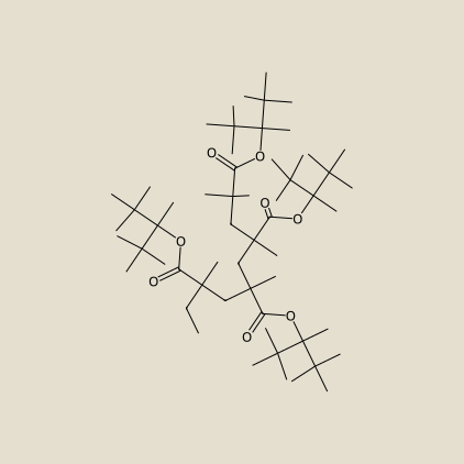 CCC(C)(CC(C)(CC(C)(CC(C)(C)C(=O)OC(C)(C(C)(C)C)C(C)(C)C)C(=O)OC(C)(C(C)(C)C)C(C)(C)C)C(=O)OC(C)(C(C)(C)C)C(C)(C)C)C(=O)OC(C)(C(C)(C)C)C(C)(C)C